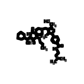 CCCCN1C(=O)[C@@H]([C@H](O)C2CCCCC2)NC(=O)C12CCN(Cc1c(C)nn(-c3ccc(C(=O)NCCN(C)C)cc3)c1C)CC2.Cl